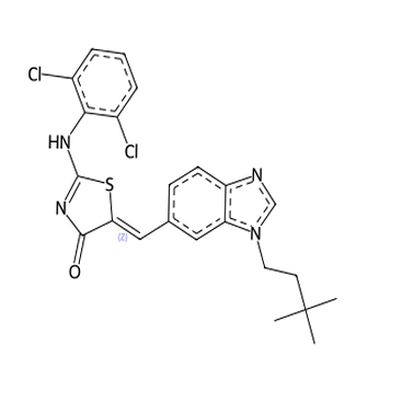 CC(C)(C)CCn1cnc2ccc(/C=C3\SC(Nc4c(Cl)cccc4Cl)=NC3=O)cc21